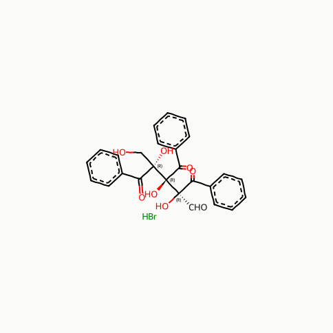 Br.O=C[C@@](O)(C(=O)c1ccccc1)[C@@](O)(C(=O)c1ccccc1)[C@](O)(CO)C(=O)c1ccccc1